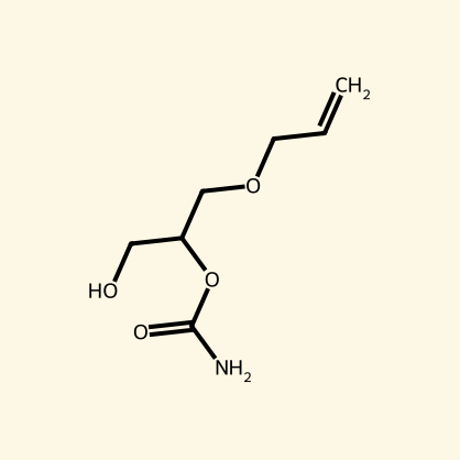 C=CCOCC(CO)OC(N)=O